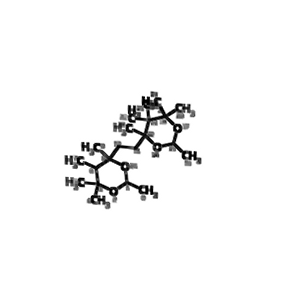 CC1OC(C)(C)C(C)C(C)(CCC2(C)OC(C)OC(C)(C)C2(C)C)O1